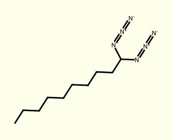 CCCCCCCCCC(N=[N+]=[N-])N=[N+]=[N-]